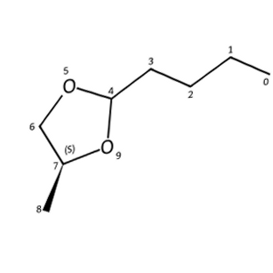 CCCCC1OC[C@H](C)O1